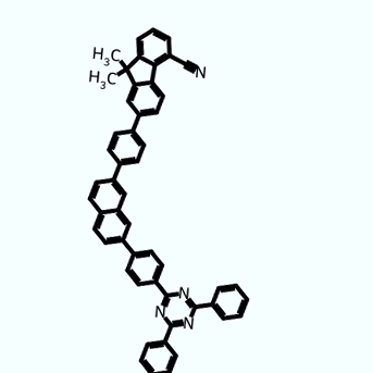 CC1(C)c2cc(-c3ccc(-c4ccc5ccc(-c6ccc(-c7nc(-c8ccccc8)nc(-c8ccccc8)n7)cc6)cc5c4)cc3)ccc2-c2c(C#N)cccc21